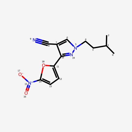 CC(C)CCn1cc(C#N)c(-c2ccc([N+](=O)[O-])o2)n1